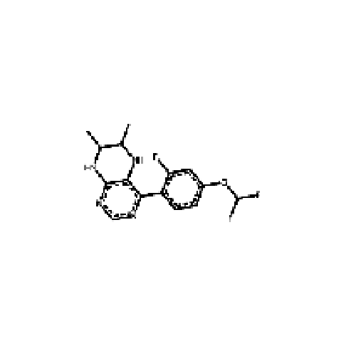 CC1Nc2ncnc(-c3ccc(OC(F)F)cc3F)c2NC1C